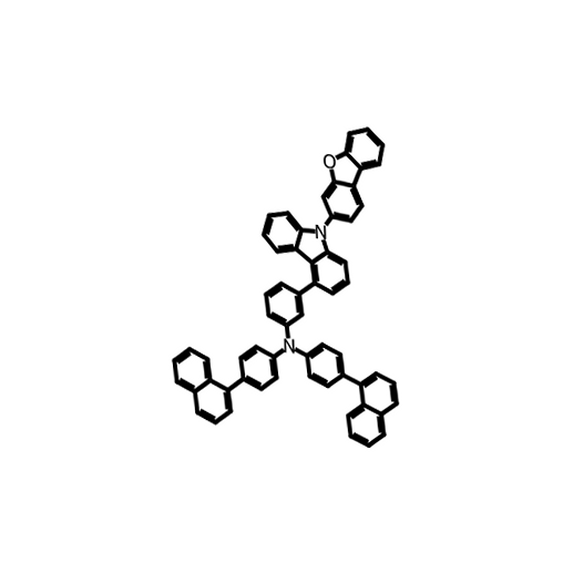 c1cc(-c2cccc3c2c2ccccc2n3-c2ccc3c(c2)oc2ccccc23)cc(N(c2ccc(-c3cccc4ccccc34)cc2)c2ccc(-c3cccc4ccccc34)cc2)c1